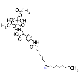 CCCCCCCC/C=C\CCCCCCCC(=O)Nc1ccc([C@@H](CNC(=O)C(OC(C)=O)C(C)(C)COC(C)=O)C(=O)O)cc1